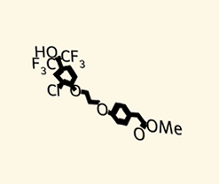 COC(=O)Cc1ccc(OCCCOc2ccc(C(O)(C(F)(F)F)C(F)(F)F)cc2Cl)cc1